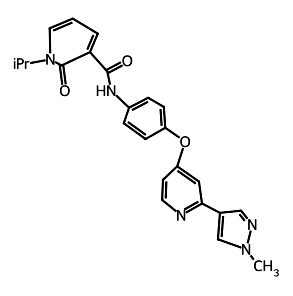 CC(C)n1cccc(C(=O)Nc2ccc(Oc3ccnc(-c4cnn(C)c4)c3)cc2)c1=O